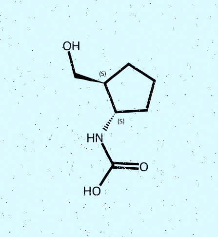 O=C(O)N[C@H]1CCC[C@@H]1CO